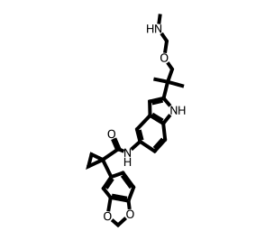 CNCOCC(C)(C)c1cc2cc(NC(=O)C3(c4ccc5c(c4)OCO5)CC3)ccc2[nH]1